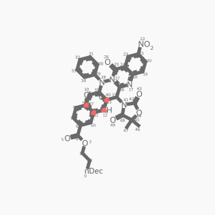 CCCCCCCCCCCCOC(=O)c1ccc(Cl)c(NC(=O)C(c2nc3ccc([N+](=O)[O-])cc3c(=O)n2N(c2ccccc2)c2ccccc2)N2C(=O)OC(C)(C)C2=O)c1